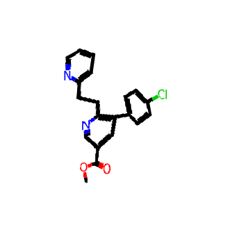 COC(=O)c1cnc(CCc2ccccn2)c(-c2ccc(Cl)cc2)c1